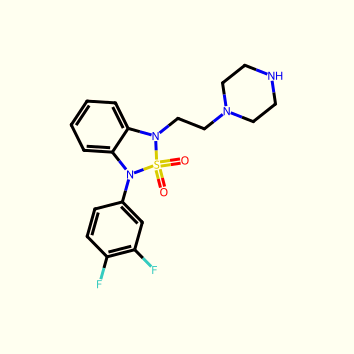 O=S1(=O)N(CCN2CCNCC2)c2ccccc2N1c1ccc(F)c(F)c1